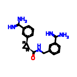 N=C(N)c1cccc(CNC(=O)[C@@H]2C[C@H]2c2cccc(C(=N)N)c2)c1